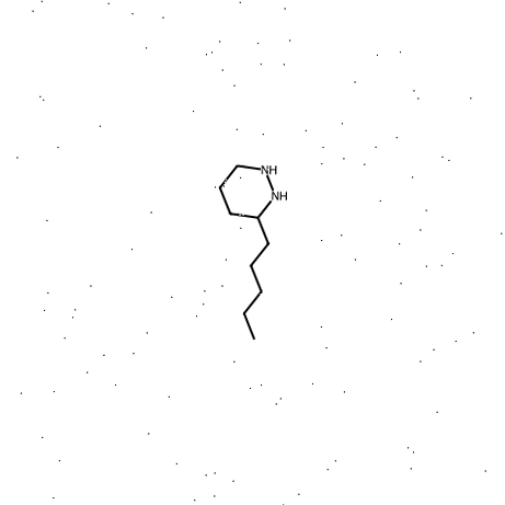 CCCCCC1CCCNN1